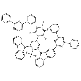 Fc1c(F)c(F)c(-c2cc(-n3c4ccccc4c4ccc(-c5nc(-c6ccccc6)nc(-c6ccccc6)n5)cc43)c(C(F)(F)F)c(-n3c4ccccc4c4ccc(-c5nc(-c6ccccc6)nc(-c6ccccc6)n5)cc43)c2)c(F)c1F